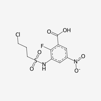 O=C(O)c1cc([N+](=O)[O-])cc(NS(=O)(=O)CCCCl)c1F